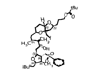 C=C([C@H](C)CC1CC[C@@H]2O[C@@H](CCCOC(=O)C(C)(C)C)C[C@]2(CI)O1)[C@H](O)C[C@@H]1O[C@H](C[C@H](C)CC)[C@H](C)[C@H]1CS(=O)(=O)c1ccccc1